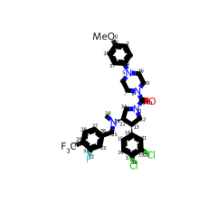 COc1ccc(N2CCN(C(=O)N3C[C@H](c4ccc(Cl)c(Cl)c4)[C@H](N(C)Cc4ccc(C(F)(F)F)c(F)c4)C3)CC2)cc1